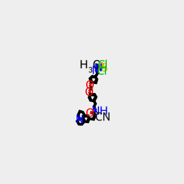 CN(/N=C/c1ccc(OCOc2ccc(CCNC(=O)/C(C#N)=C\c3cc4c5c(c3)CCCN5CCC4)cc2)cc1)P(=S)(Cl)Cl